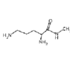 CNC(=O)C(N)CCCN